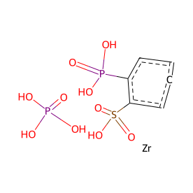 O=P(O)(O)O.O=P(O)(O)c1ccccc1S(=O)(=O)O.[Zr]